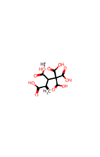 C=C(C(=O)O)C(C(=O)O)C(C(=O)O)(C(=O)O)C(=O)O.[Hf]